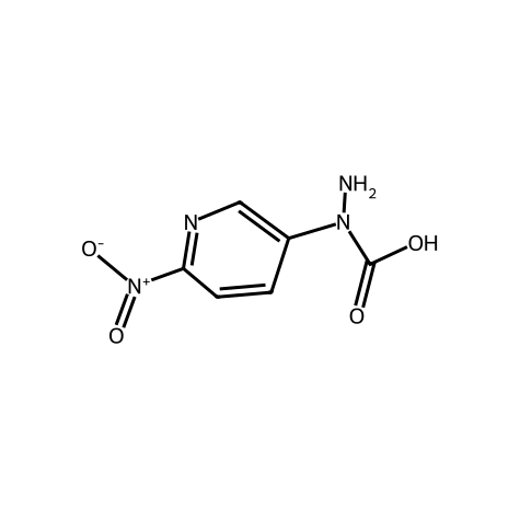 NN(C(=O)O)c1ccc([N+](=O)[O-])nc1